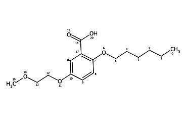 CCCCCCOc1ccc(OCCOC)cc1C(=O)O